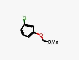 COCOc1cccc(Cl)c1